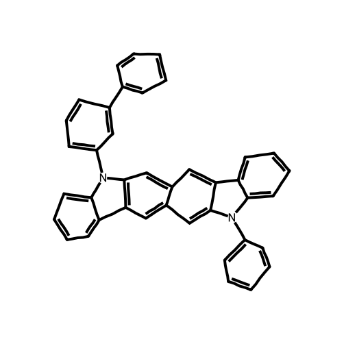 c1ccc(-c2cccc(-n3c4ccccc4c4cc5cc6c(cc5cc43)c3ccccc3n6-c3ccccc3)c2)cc1